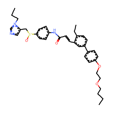 CCCCOCCOc1ccc(-c2ccc(CC)c(/C=C/C(=O)Nc3ccc([S+]([O-])Cc4cncn4CCC)cc3)c2)cc1